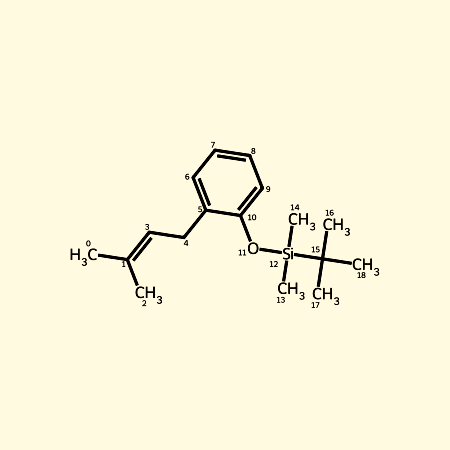 CC(C)=CCc1ccccc1O[Si](C)(C)C(C)(C)C